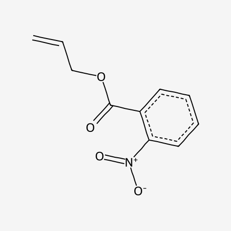 C=CCOC(=O)c1ccccc1[N+](=O)[O-]